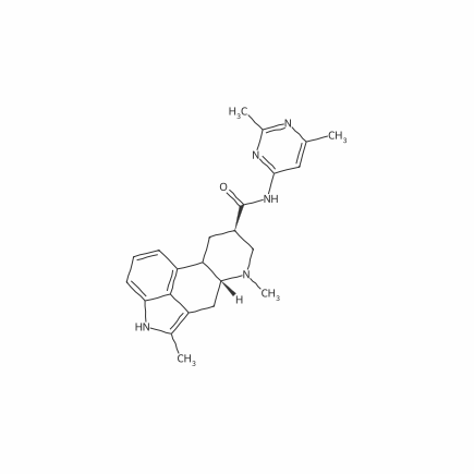 Cc1cc(NC(=O)[C@@H]2CC3c4cccc5[nH]c(C)c(c45)C[C@H]3N(C)C2)nc(C)n1